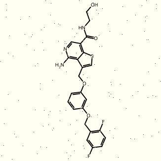 Nc1ncc(C(=O)NCCO)c2scc(COc3cccc(OCc4cc(F)ccc4F)c3)c12